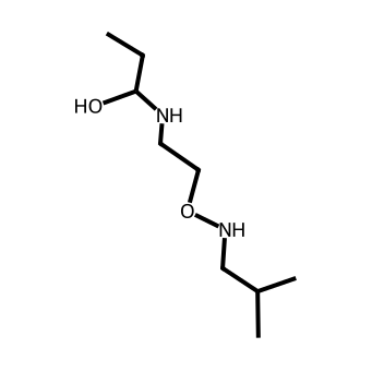 CCC(O)NCCONCC(C)C